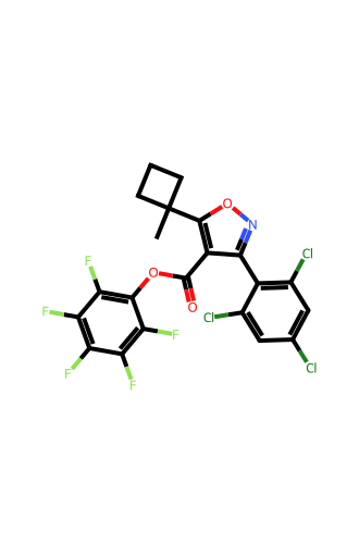 CC1(c2onc(-c3c(Cl)cc(Cl)cc3Cl)c2C(=O)Oc2c(F)c(F)c(F)c(F)c2F)CCC1